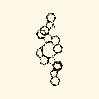 c1ccc(-n2c3ccc4ccc(-c5cccc6c5oc5ccccc56)c(c4c3)n(-c3ccccc3)c3ccc4ccc(-c5cccc6c5oc5ccccc56)c2c4c3)cc1